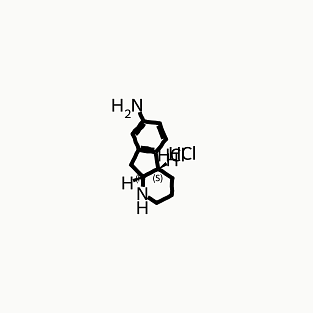 Cl.Cl.Nc1ccc2c(c1)C[C@H]1NCCC[C@@H]21